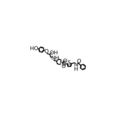 O=C(NCc1ccc(S(=O)(=O)N2CCC(CNC[C@H](O)COc3ccc(O)cc3)CC2)s1)c1ccccc1